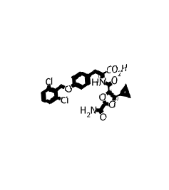 NC(=O)C1O[C@H](C2CC2)[C@H](C(=O)N[C@@H](Cc2ccc(OCc3c(Cl)cccc3Cl)cc2)C(=O)O)O1